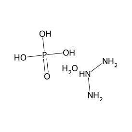 NNN.O.O=P(O)(O)O